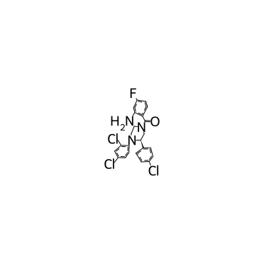 Nc1cc(F)ccc1C(=O)N1CCN(c2ccc(Cl)cc2Cl)[C@H](c2ccc(Cl)cc2)C1